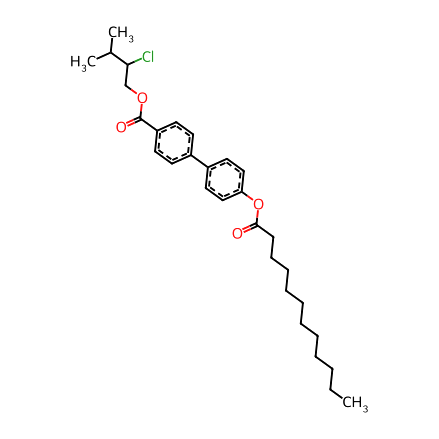 CCCCCCCCCCCC(=O)Oc1ccc(-c2ccc(C(=O)OCC(Cl)C(C)C)cc2)cc1